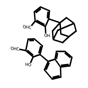 O=Cc1cccc(-c2cccc3ccccc23)c1O.O=Cc1cccc(C23CC4CC(CC(C4)C2)C3)c1O